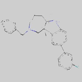 Fc1cccc(-c2ccc3c(c2)[C@@H]2CN(Cc4ccccc4)CCC[C@H]2N3)c1